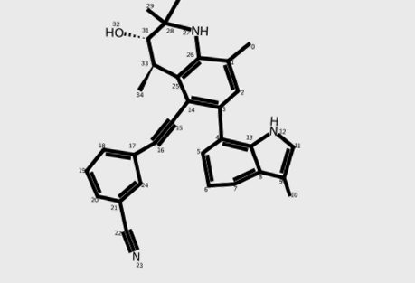 Cc1cc(-c2cccc3c(C)c[nH]c23)c(C#Cc2cccc(C#N)c2)c2c1NC(C)(C)[C@@H](O)[C@@H]2C